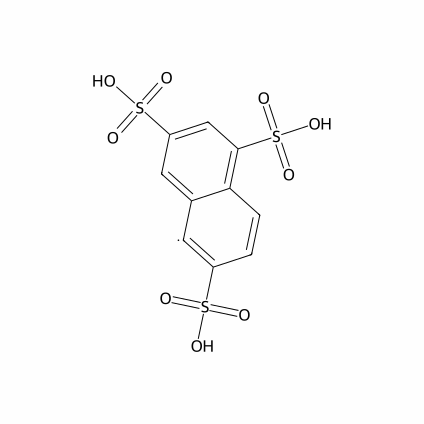 O=S(=O)(O)c1[c]c2cc(S(=O)(=O)O)cc(S(=O)(=O)O)c2cc1